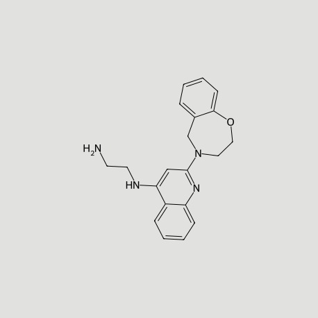 NCCNc1cc(N2CCOc3ccccc3C2)nc2ccccc12